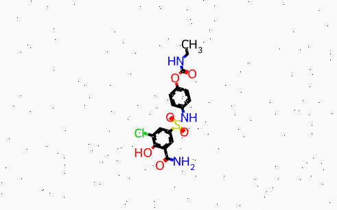 CCNC(=O)Oc1ccc(NS(=O)(=O)c2cc(Cl)c(O)c(C(N)=O)c2)cc1